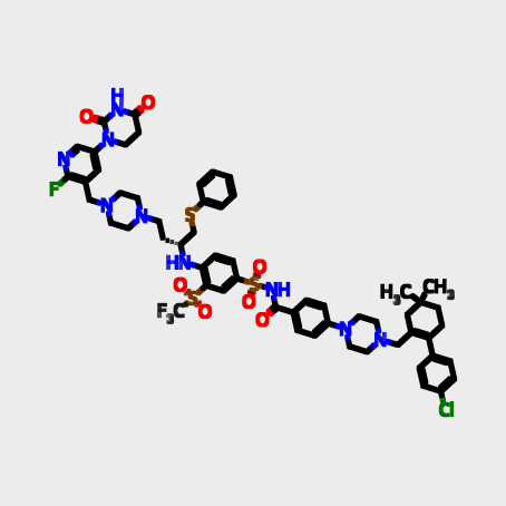 CC1(C)CCC(c2ccc(Cl)cc2)=C(CN2CCN(c3ccc(C(=O)NS(=O)(=O)c4ccc(N[C@H](CCN5CCN(Cc6cc(N7CCC(=O)NC7=O)cnc6F)CC5)CSc5ccccc5)c(S(=O)(=O)C(F)(F)F)c4)cc3)CC2)C1